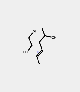 C/C=C/CC(C)O.OCCO